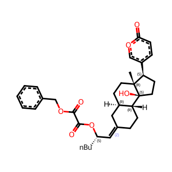 CCCC[C@@H](/C=C1/CC[C@@H]2[C@H](CC[C@]3(C)[C@@H](c4ccc(=O)oc4)CC[C@]23O)C1)OC(=O)C(=O)OCc1ccccc1